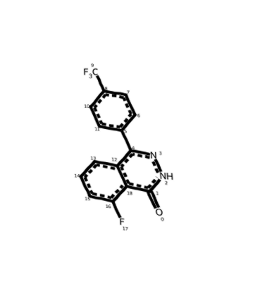 O=c1[nH]nc(-c2ccc(C(F)(F)F)cc2)c2cccc(F)c12